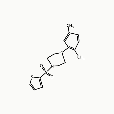 Cc1ccc(C)c(N2CCN(S(=O)(=O)c3cccs3)CC2)c1